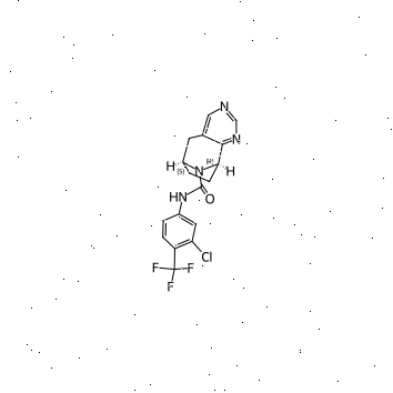 O=C(Nc1ccc(C(F)(F)F)c(Cl)c1)N1[C@H]2CC[C@@H]1c1ncncc1C2